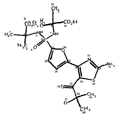 CCOC(=O)C(C)(C)NP(=O)(NC(C)(C)C(=O)OCC)c1ccc(-c2nc(N)sc2C(=O)C(C)(C)CC)o1